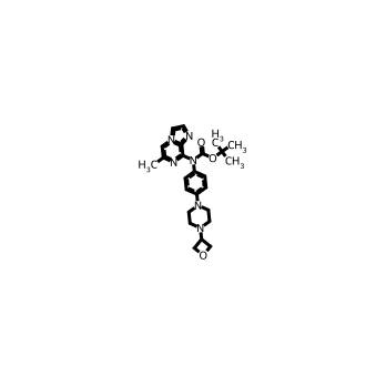 Cc1cn2ccnc2c(N(C(=O)OC(C)(C)C)c2ccc(N3CCN(C4COC4)CC3)cc2)n1